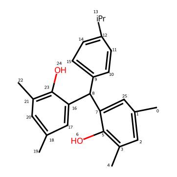 Cc1cc(C)c(O)c(C(c2ccc(C(C)C)cc2)c2cc(C)cc(C)c2O)c1